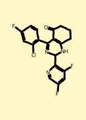 O=C1CCCC2=C1C(c1ccc(F)cc1Cl)=NC(c1ncc(F)cc1F)N2